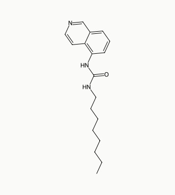 CCCCCCCCNC(=O)Nc1cccc2cnccc12